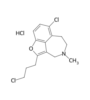 CN1CCc2c(Cl)ccc3oc(CCCCl)c(c23)C1.Cl